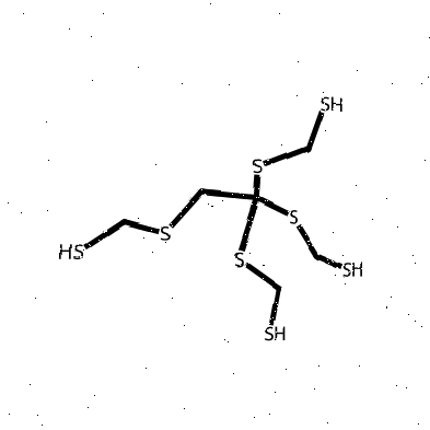 SCSCC(SCS)(SCS)SCS